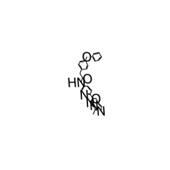 Cc1ncc2oc(-c3ccc(NC(=O)Cc4ccc(Oc5ccccc5)cc4)cn3)nn12